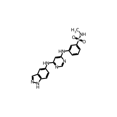 CNS(=O)(=O)c1cccc(Nc2cc(Nc3ccc4[nH]ncc4c3)ncn2)c1